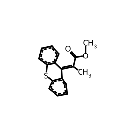 COC(=O)C(C)=C1c2ccccc2Sc2ccccc21